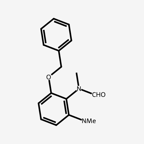 CNc1cccc(OCc2ccccc2)c1N(C)C=O